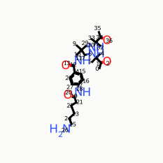 CC(=O)C(C)(C)NCC(C)(CNC(=O)c1ccc(NC(=O)CCCCCN)cc1)CNC(C)(C)C(C)=O